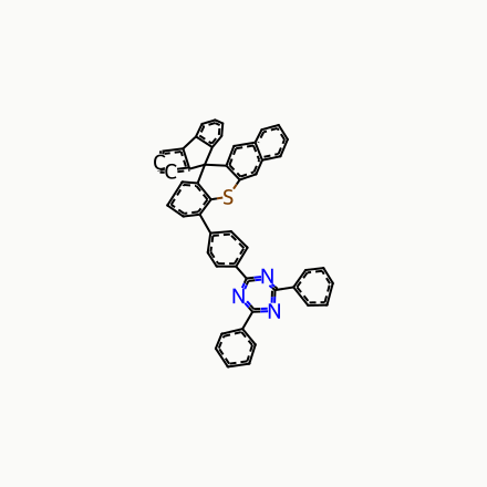 c1ccc(-c2nc(-c3ccccc3)nc(-c3ccc(-c4cccc5c4Sc4cc6ccccc6cc4C54c5ccccc5-c5ccccc54)cc3)n2)cc1